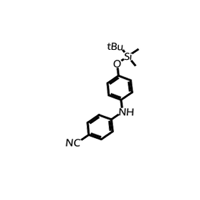 CC(C)(C)[Si](C)(C)Oc1ccc(Nc2ccc(C#N)cc2)cc1